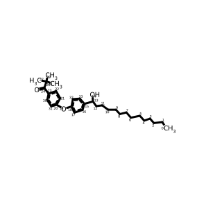 CCCCCCCCCCCCCC(O)c1ccc(Oc2ccc(C(=O)C(C)(C)C)cc2)cc1